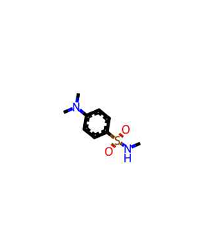 CNS(=O)(=O)c1ccc(N(C)C)cc1